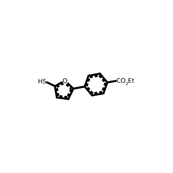 CCOC(=O)c1ccc(-c2ccc(S)o2)cc1